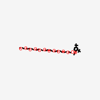 COCCOCCOCCOCCOCCOCCOCCOCCOCCOCCOCCOC(C)Oc1ccc(C(C)(C)C)cc1C(C)(C)C